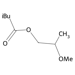 [CH2]CC(C)C(=O)OCC(C)OC